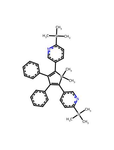 C[Si]1(C)C(c2ccc([Si](C)(C)C)nc2)=C(c2ccccc2)C(c2ccccc2)=C1c1ccc([Si](C)(C)C)nc1